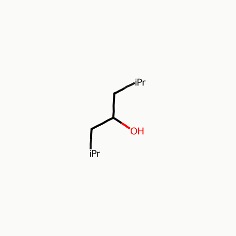 [CH2]C(C)CC(O)CC(C)C